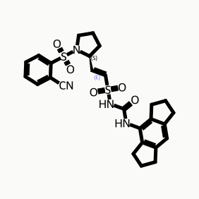 N#Cc1ccccc1S(=O)(=O)N1CCC[C@H]1/C=C/S(=O)(=O)NC(=O)Nc1c2c(cc3c1CCC3)CCC2